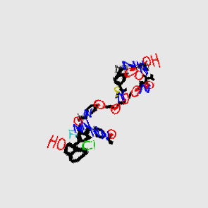 C=CC(=O)N1CCN(c2nc(O[C@H](C)CN3CCC(OCCOCCOCCOc4cc(C(C(=O)N5C[C@H](O)C[C@H]5C(=O)N[C@@H](C)c5ccc(-c6scnc6C)cc5)C(C)C)on4)CC3)nc3c(F)c(-c4cc(O)cc5ccccc45)c(Cl)cc23)CC1